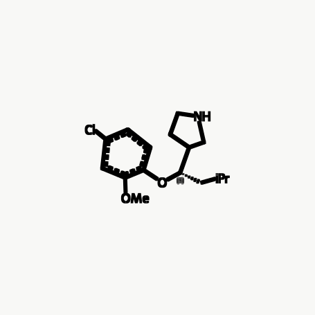 COc1cc(Cl)ccc1O[C@@H](CC(C)C)C1CCNC1